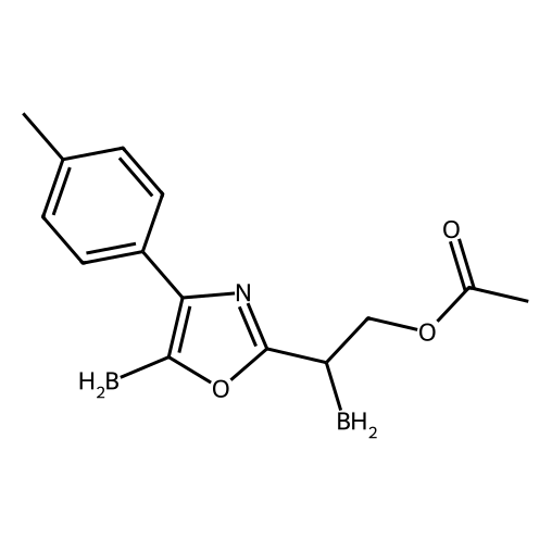 Bc1oc(C(B)COC(C)=O)nc1-c1ccc(C)cc1